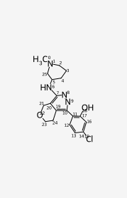 CN1CCCC(Nc2nnc(-c3ccc(Cl)cc3O)c3c2COCC3)C1